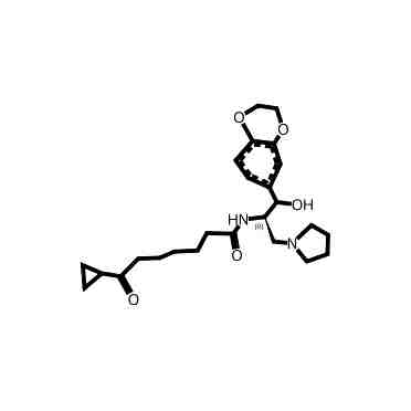 O=C(CCCCCC(=O)C1CC1)N[C@H](CN1CCCC1)C(O)c1ccc2c(c1)OCCO2